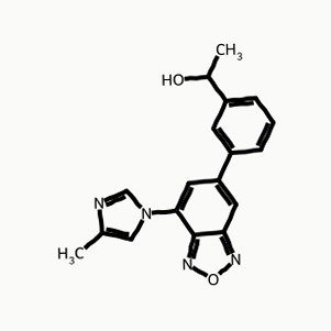 Cc1cn(-c2cc(-c3cccc(C(C)O)c3)cc3nonc23)cn1